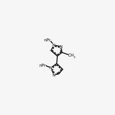 CCCn1[c]c(-c2ccnn2CCC)c(C)n1